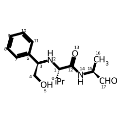 CC(C)[C@H](N[C@@H](CO)c1ccccc1)C(=O)N[C@@H](C)C=O